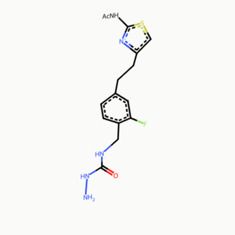 CC(=O)Nc1nc(CCc2ccc(CNC(=O)NN)c(F)c2)cs1